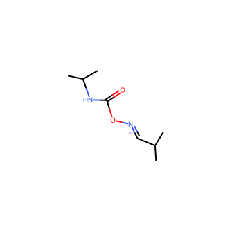 CC(C)/C=N/OC(=O)NC(C)C